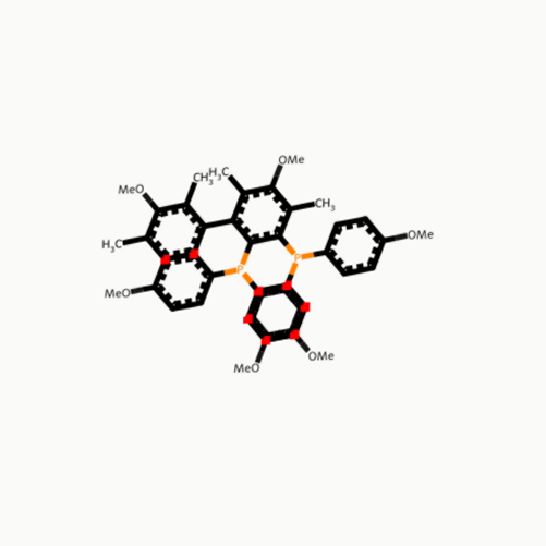 COc1ccc(P(c2ccc(OC)cc2)c2c(C)c(OC)c(C)c(-c3ccc(C)c(OC)c3C)c2P(c2ccc(OC)cc2)c2ccc(OC)cc2)cc1